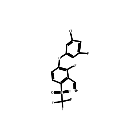 N=Cc1c(S(=O)(=O)C(F)(F)F)ccc(Oc2cc(F)cc(Cl)c2)c1Br